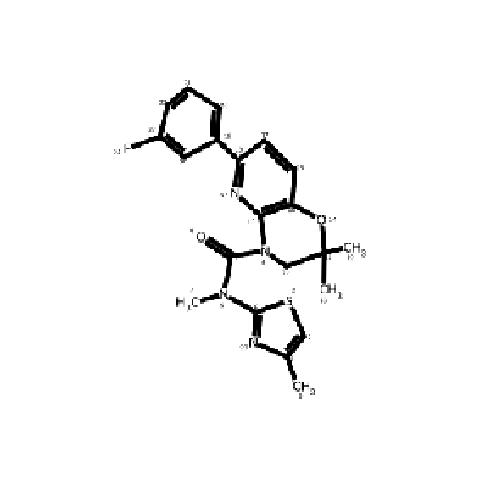 Cc1csc(N(C)C(=O)N2CC(C)(C)Oc3ccc(-c4cccc(F)c4)nc32)n1